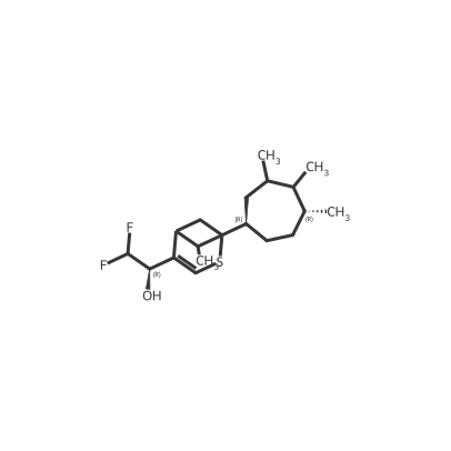 CC1C[C@H](C23CC(C([C@@H](O)C(F)F)=CS2)C3C)CC[C@@H](C)C1C